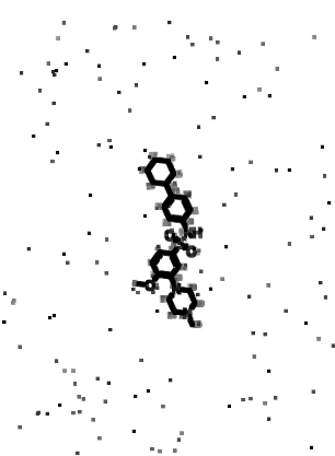 COc1ccc(S(=O)(=O)Nc2ccc(C3CCCCC3)cc2)cc1N1CCN(C)CC1